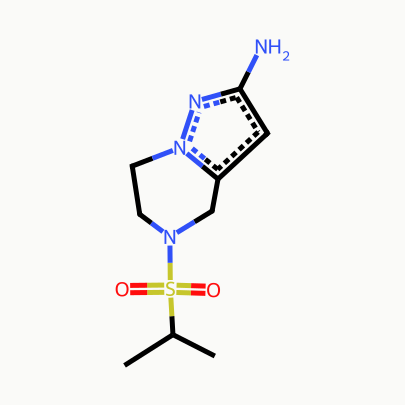 CC(C)S(=O)(=O)N1CCn2nc(N)cc2C1